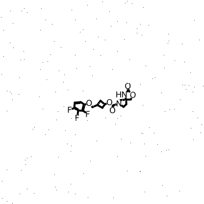 O=C1NC2(CCN(C(=O)OC3CC(COc4ccc(F)c(F)c4F)C3)C2)CO1